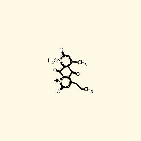 CCCc1cc(=O)[nH]c2c1C(=O)c1c(C)cc(=O)n(C)c1C2=O